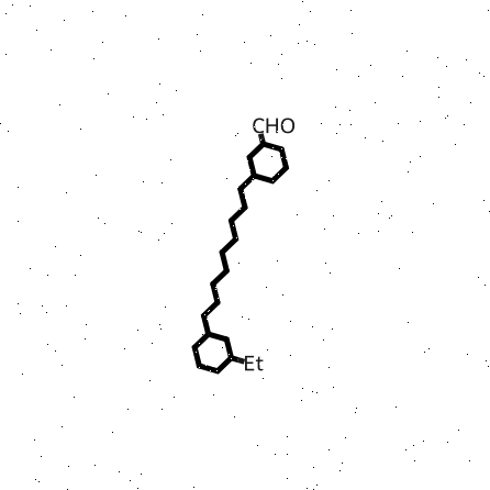 CCC1CCCC(CCCCCCCCCC2CCCC(C=O)C2)C1